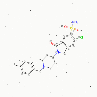 Cc1ccc(CN2CCC(N3Cc4cc(Cl)c(S(N)(=O)=O)cc4C3=O)CC2)cc1